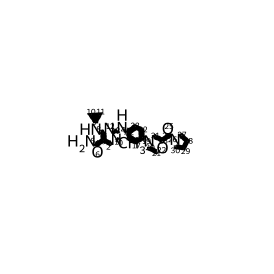 CN1CC(C(N)=O)=C(NC2CC2)N=C1Nc1ccc(N2CCOC(C(=O)N3CCCC3)C2)cc1